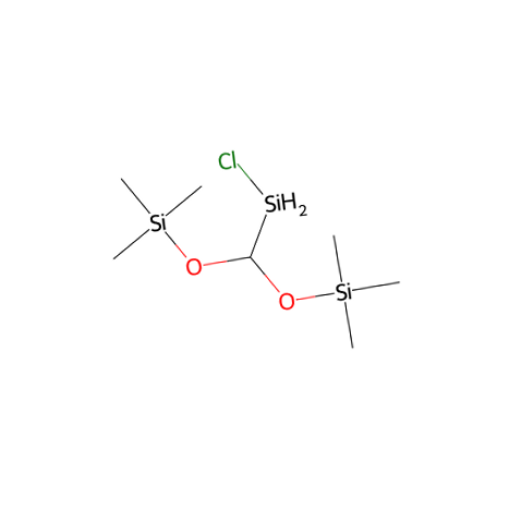 C[Si](C)(C)OC(O[Si](C)(C)C)[SiH2]Cl